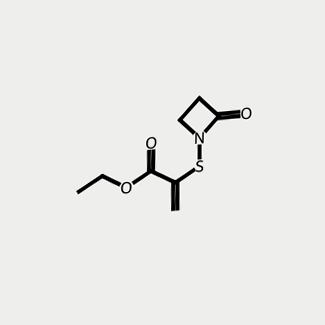 C=C(SN1CCC1=O)C(=O)OCC